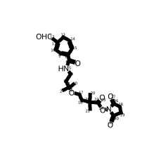 CC(C)(CCNC(=O)C1=CC=C(C=O)CC=C1)OCCC(C)(C)C(=O)ON1C(=O)CCC1=O